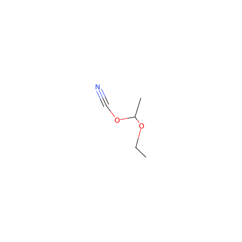 CCOC(C)OC#N